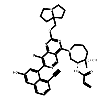 C#Cc1cccc2cc(O)cc(-c3ncc4c(N5CCC[C@](C)(C#N)[C@H](NC(=O)C=C)C5)nc(OCC56CCCN5CCC6)nc4c3F)c12